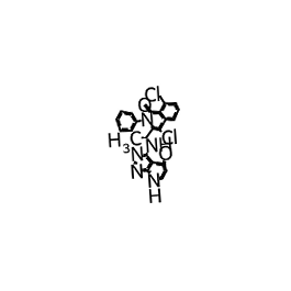 C[C@H](Nc1ncnc2[nH]ccc(=O)c12)c1c(Cl)c2cccc(Cl)c2c(=O)n1-c1ccccc1